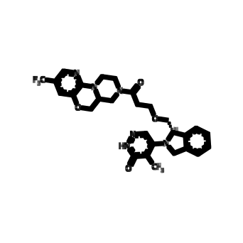 O=C(CCOC[C@@H]1c2ccccc2CN1c1cn[nH]c(=O)c1C(F)(F)F)N1CCN2c3ncc(C(F)(F)F)cc3OCC2C1